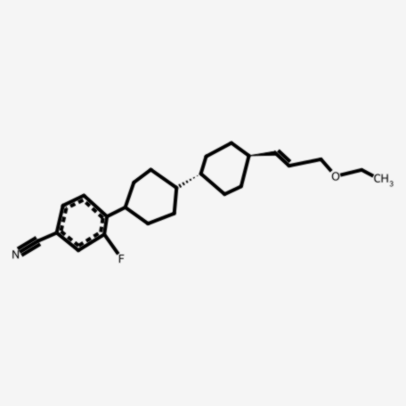 CCOC/C=C/[C@H]1CC[C@H](C2CCC(c3ccc(C#N)cc3F)CC2)CC1